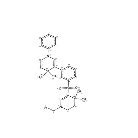 CC(C)CN1C=C(S(=O)(=O)c2cccc(C3=CN(c4ccccc4)C=CC3(C)C)c2)C(C)(C)CC1